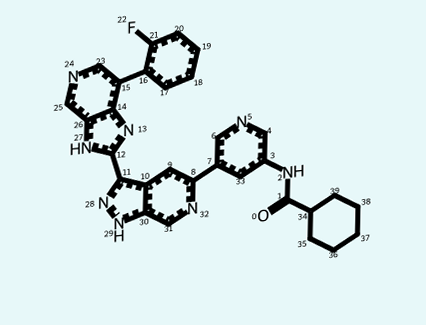 O=C(Nc1cncc(-c2cc3c(-c4nc5c(-c6ccccc6F)cncc5[nH]4)n[nH]c3cn2)c1)C1CCCCC1